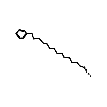 O=C=N[CH]CCCCCCCCCCCCCc1ccccc1